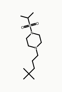 CC(C)S(=O)(=O)N1CCN(CCCC(C)(C)C)CC1